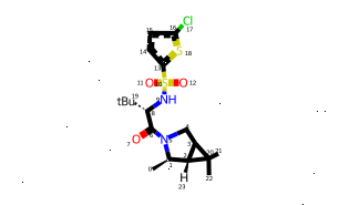 C[C@@H]1[C@@H]2C(CN1C(=O)[C@@H](NS(=O)(=O)c1ccc(Cl)s1)C(C)(C)C)C2(C)C